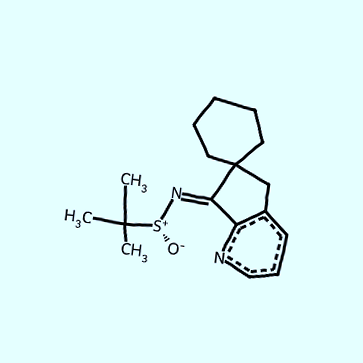 CC(C)(C)[S@@+]([O-])/N=C1\c2ncccc2CC12CCCCC2